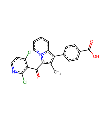 Cc1c(-c2ccc(C(=O)O)cc2)c2ccccn2c1C(=O)c1c(Cl)ccnc1Cl